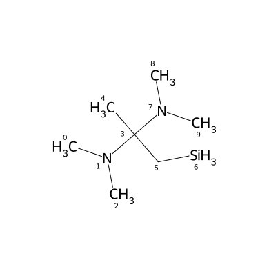 CN(C)C(C)(C[SiH3])N(C)C